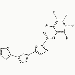 Cc1c(F)c(F)c(OC(=O)c2ccc(-c3ccc(-c4cccs4)s3)s2)c(F)c1F